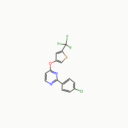 FC(F)(F)c1cc(Oc2ccnc(-c3ccc(Cl)cc3)n2)cs1